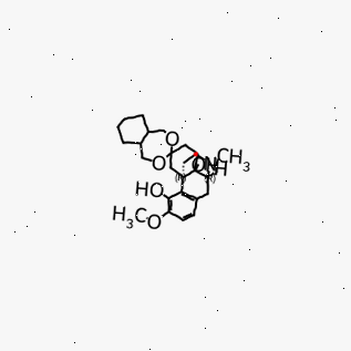 COc1ccc2c(c1O)[C@]13CCN(C)[C@H](C2)C1(O)CCC1(C3)OCC2CCCCC2CO1